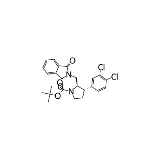 CC(C)(C)OC(=O)N1CC[C@@H](c2ccc(Cl)c(Cl)c2)[C@@H]1CN1C(=O)c2ccccc2C1=O